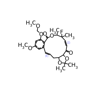 COCOc1cc(OC)cc2c1C(=O)OC(C)C(C)(F)/C=C\C(=O)C1OC(C)(C)OC1C/C=C/2